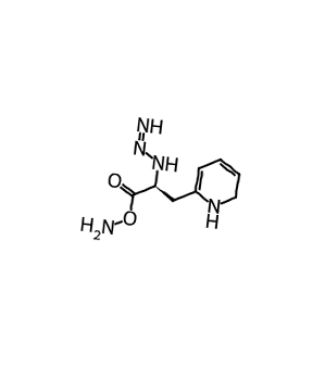 N=NN[C@@H](CC1=CC=CCN1)C(=O)ON